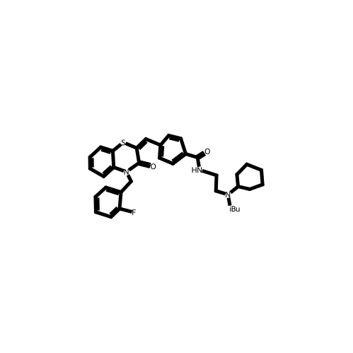 CCC(C)N(CCNC(=O)c1ccc(C=C2Sc3ccccc3N(Cc3ccccc3F)C2=O)cc1)C1CCCCC1